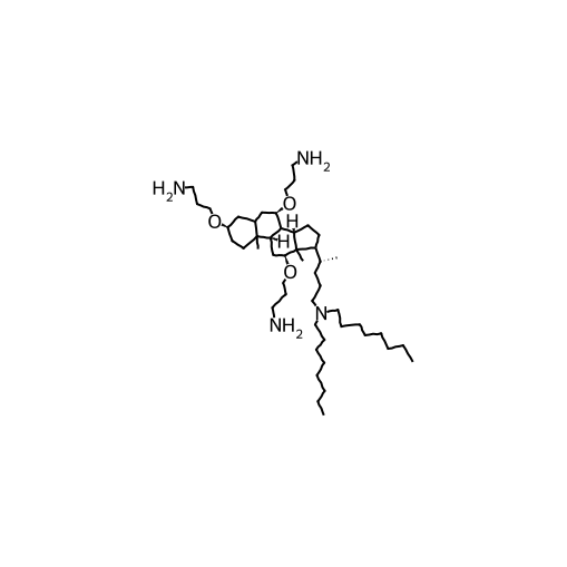 CCCCCCCCN(CCCCCCCC)CCC[C@@H](C)C1CC[C@H]2C3[C@H](OCCCN)CC4C[C@H](OCCCN)CCC4(C)[C@H]3C[C@H](OCCCN)C12C